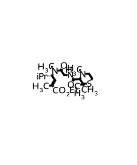 CCOC(=O)/C(C)=C/[C@H](C(C)C)N(C)C(=O)CNC(=O)C1N(C)CCSC1(C)C